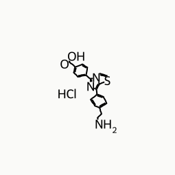 Cl.NCCc1ccc(-c2nc(-c3ccc(C(=O)O)cc3)n3ccsc23)cc1